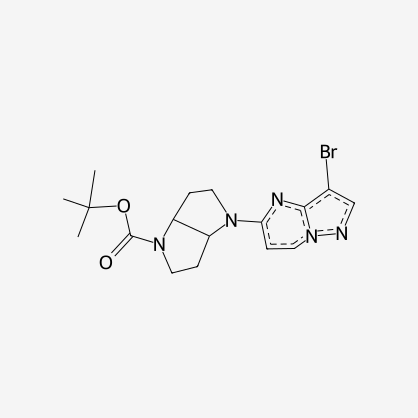 CC(C)(C)OC(=O)N1CCC2C1CCN2c1ccn2ncc(Br)c2n1